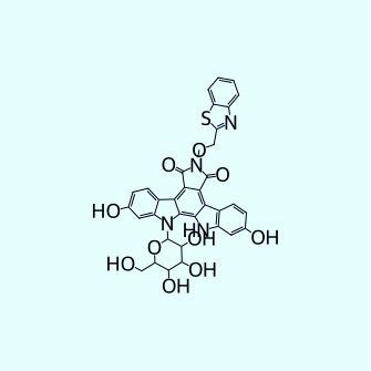 O=C1c2c(c3c4ccc(O)cc4n(C4OC(CO)C(O)C(O)C4O)c3c3[nH]c4cc(O)ccc4c23)C(=O)N1OCc1nc2ccccc2s1